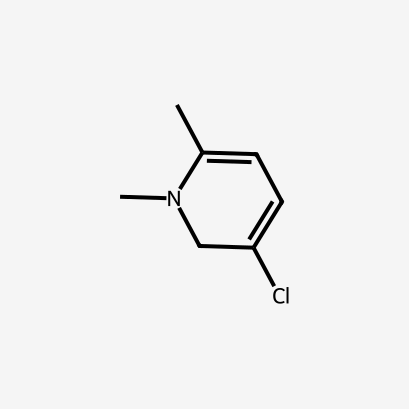 CC1=CC=C(Cl)CN1C